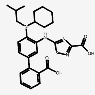 CC(C)CN(c1ccc(-c2ccccc2C(=O)O)cc1Nc1nc(C(=O)O)ns1)C1CCCCC1